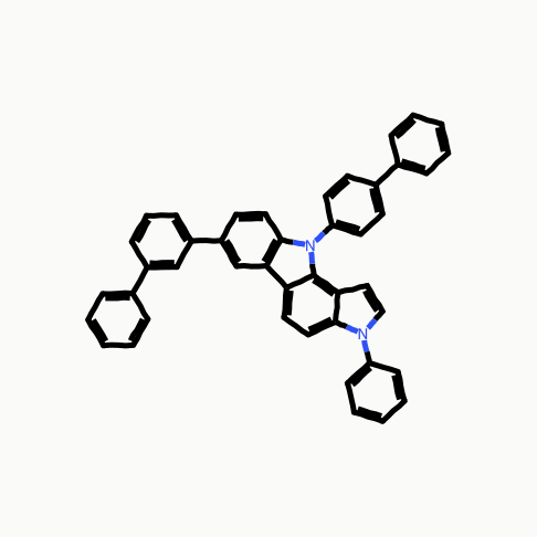 c1ccc(-c2ccc(-n3c4ccc(-c5cccc(-c6ccccc6)c5)cc4c4ccc5c(ccn5-c5ccccc5)c43)cc2)cc1